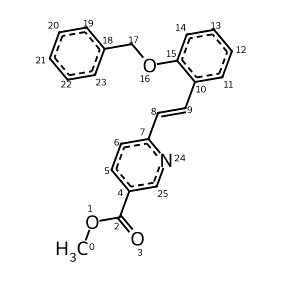 COC(=O)c1ccc(C=Cc2ccccc2OCc2ccccc2)nc1